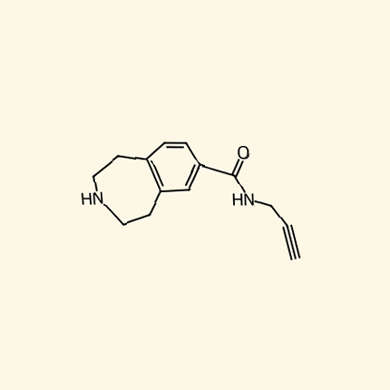 C#CCNC(=O)c1ccc2c(c1)CCNCC2